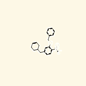 O=[N+]([O-])c1ccc(CC2CC=CCC2)cc1OCc1ccccc1